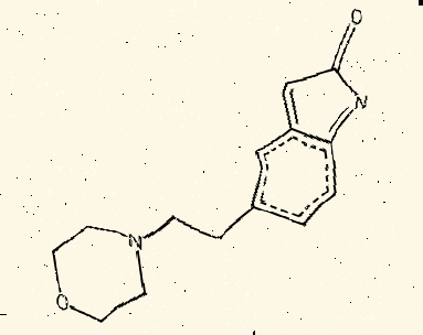 O=C1C=c2cc(CCN3CCOCC3)ccc2=N1